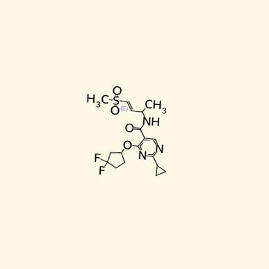 CC(/C=C/S(C)(=O)=O)NC(=O)c1cnc(C2CC2)nc1OC1CCC(F)(F)C1